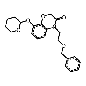 O=C1COc2c(OC3CCCCO3)cccc2N1CCOCc1ccccc1